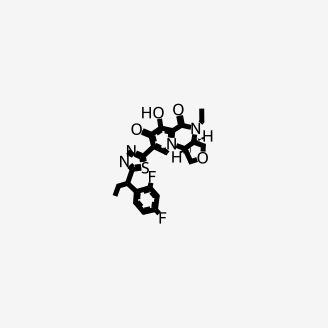 CCC(c1nnc(-c2cn3c(c(O)c2=O)C(=O)N(CC)[C@H]2COC[C@H]23)s1)c1ccc(F)cc1F